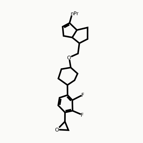 CCCC1=CCC2C(COC3CCC(c4ccc(C5CO5)c(F)c4F)CC3)CCC12